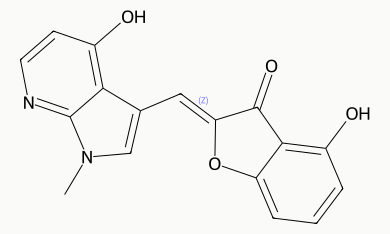 Cn1cc(/C=C2\Oc3cccc(O)c3C2=O)c2c(O)ccnc21